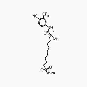 CCCCCCS(=O)(=O)CCCCCCCCC[C@](C)(O)C(=O)Nc1ccc(C#N)c(C(F)(F)F)c1